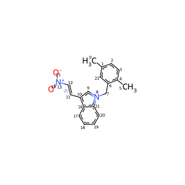 Cc1ccc(C)c(Cn2cc(/C=C/[N+](=O)[O-])c3ccccc32)c1